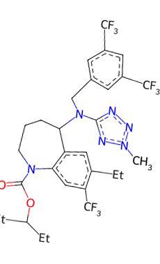 CCc1cc2c(cc1C(F)(F)F)N(C(=O)OC(CC)CC)CCCC2N(Cc1cc(C(F)(F)F)cc(C(F)(F)F)c1)c1nnn(C)n1